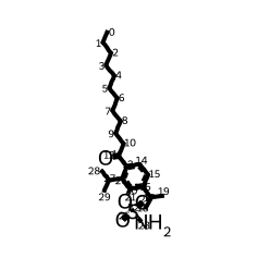 CCCCCCCCCCCC(=O)c1ccc(C(C)C)c(OS(N)(=O)=O)c1C(C)C